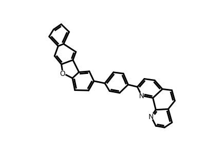 c1ccc2cc3c(cc2c1)oc1ccc(-c2ccc(-c4ccc5ccc6cccnc6c5n4)cc2)cc13